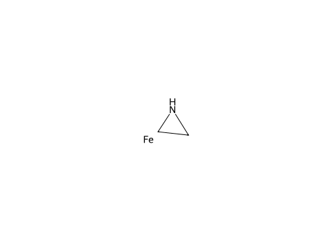 C1CN1.[Fe]